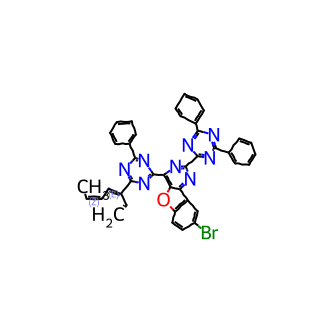 C=C/C(=C\C=C/C)c1nc(-c2ccccc2)nc(-c2nc(-c3nc(-c4ccccc4)nc(-c4ccccc4)n3)nc3c2oc2ccc(Br)cc23)n1